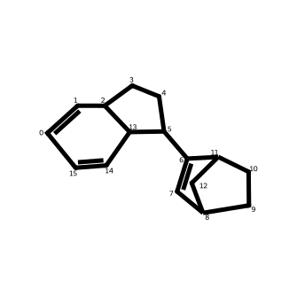 C1=CC2CCC(C3=CC4CCC3C4)C2C=C1